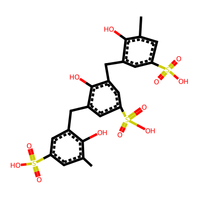 Cc1cc(S(=O)(=O)O)cc(Cc2cc(S(=O)(=O)O)cc(Cc3cc(S(=O)(=O)O)cc(C)c3O)c2O)c1O